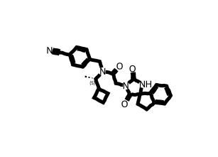 C[C@@H](C1CCC1)N(Cc1ccc(C#N)cc1)C(=O)CN1C(=O)NC2(CCc3ccccc32)C1=O